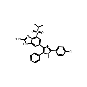 CC(C)S(=O)(=O)c1cc(-c2nc(-c3ccc(Cl)cc3)[nH]c2-c2ccccc2)cc2[nH]c(N)nc12